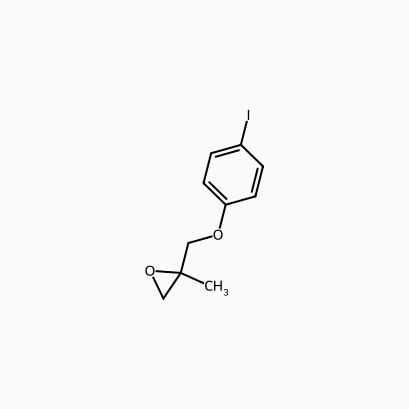 CC1(COc2ccc(I)cc2)CO1